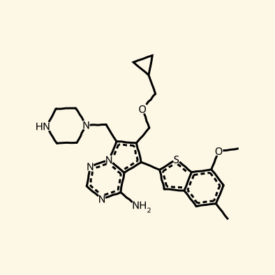 COc1cc(C)cc2cc(-c3c(COCC4CC4)c(CN4CCNCC4)n4ncnc(N)c34)sc12